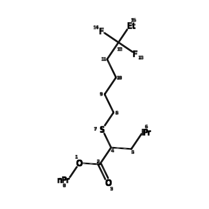 CCCOC(=O)C(CC(C)C)SCCCCC(F)(F)CC